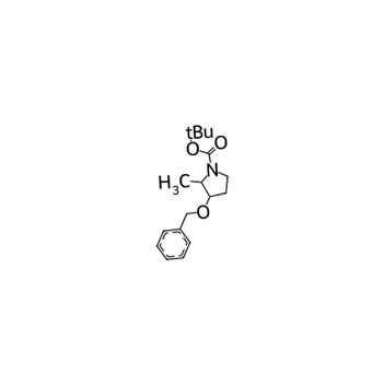 CC1C(OCc2ccccc2)CCN1C(=O)OC(C)(C)C